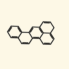 C1=Cc2cc3c4ccccc4ccc3c3cccc(c23)C1